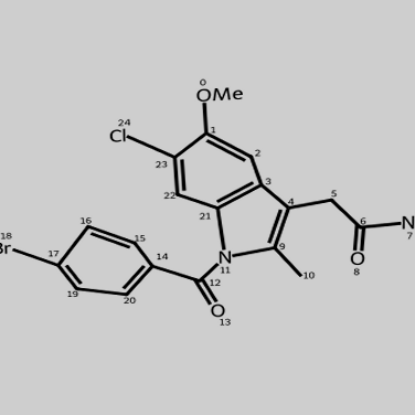 COc1cc2c(CC(N)=O)c(C)n(C(=O)c3ccc(Br)cc3)c2cc1Cl